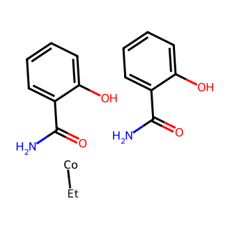 C[CH2][Co].NC(=O)c1ccccc1O.NC(=O)c1ccccc1O